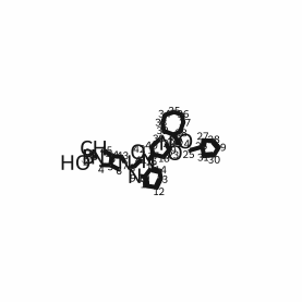 CB(O)N1CC2CN(c3nc4ccccc4n(C4CCN(C5(C(=O)OCc6ccccc6)CCCCCCC5)CC4)c3=O)CC2C1